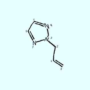 C=CCn1nccn1